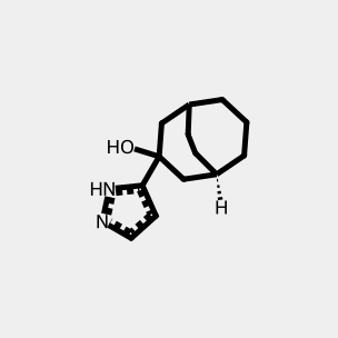 OC1(c2ccn[nH]2)CC2CCC[C@H](CC2)C1